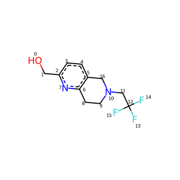 OCc1ccc2c(n1)CCN(CC(F)(F)F)C2